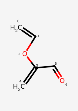 C=COC(=C)C=O